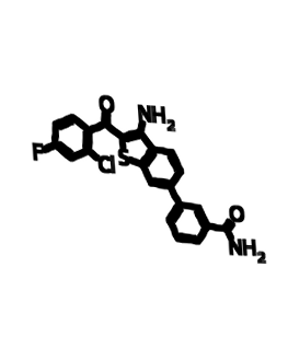 NC(=O)c1cccc(-c2ccc3c(N)c(C(=O)c4ccc(F)cc4Cl)sc3c2)c1